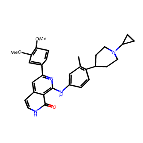 COc1ccc(-c2cc3cc[nH]c(=O)c3c(Nc3ccc(C4CCN(C5CC5)CC4)c(C)c3)n2)cc1OC